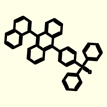 O=P(c1ccccc1)(c1ccccc1)c1ccc(-c2c3ccccc3c(-c3cccc4ccccc34)c3ccccc23)cc1